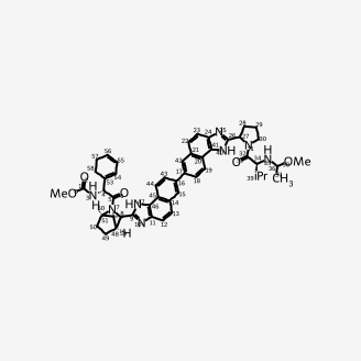 COC(=O)N[C@@H](C(=O)N1C(c2nc3ccc4cc(-c5ccc6c(ccc7nc(C8CCCN8C(=O)[C@@H](NC(C)OC)C(C)C)[nH]c76)c5)ccc4c3[nH]2)[C@H]2CC[C@@H]1C2)C1=CC=CCC1